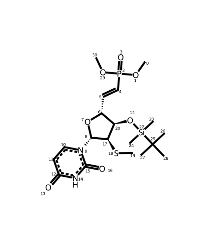 COP(=O)(/C=C/[C@H]1O[C@@H](n2ccc(=O)[nH]c2=O)[C@H](SC)[C@@H]1O[Si](C)(C)C(C)(C)C)OC